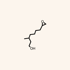 CC(CCO)CCCCC1CO1